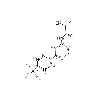 CC(Cl)C(=O)Nc1cccc(-c2cnc(C(F)(F)F)nc2)n1